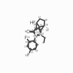 CCn1c2c(c(=O)n1-c1ccc(F)cc1F)[C@H]1CC[C@]2(C)C1(C)C